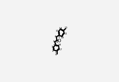 Cc1ccc(CC(=O)Cc2ccc(C)cc2)cc1